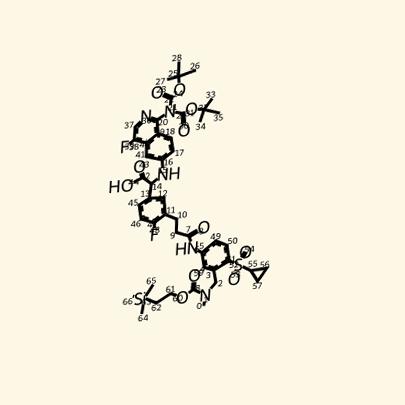 CN(Cc1cc(NC(=O)CCc2cc(C(Nc3ccc4c(N(C(=O)OC(C)(C)C)C(=O)OC(C)(C)C)ncc(F)c4c3)C(=O)O)ccc2F)ccc1S(=O)(=O)C1CC1)C(=O)OCC[Si](C)(C)C